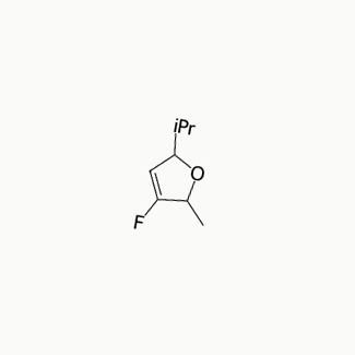 CC1OC(C(C)C)C=C1F